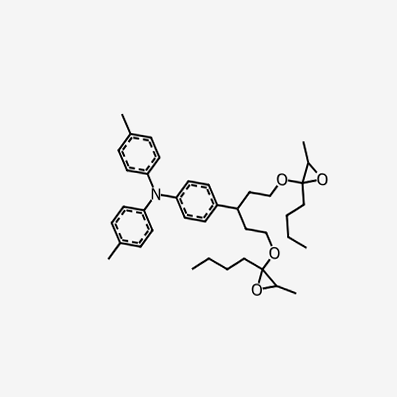 CCCCC1(OCCC(CCOC2(CCCC)OC2C)c2ccc(N(c3ccc(C)cc3)c3ccc(C)cc3)cc2)OC1C